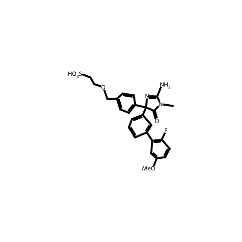 COc1ccc(F)c(-c2cccc(C3(c4ccc(COCCS(=O)(=O)O)cc4)N=C(N)N(C)C3=O)c2)c1